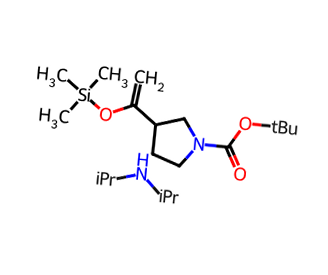 C=C(O[Si](C)(C)C)C1CCN(C(=O)OC(C)(C)C)C1.CC(C)NC(C)C